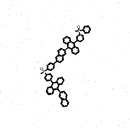 CP(=O)(c1ccc(-c2ccc3cc(-c4c5ccccc5c(-c5cccc(P(C)(=O)c6ccccc6)c5)c5ccccc45)ccc3c2)cc1)c1ccc(-c2c3ccccc3c(-c3ccc4ccccc4c3)c3ccccc23)cc1